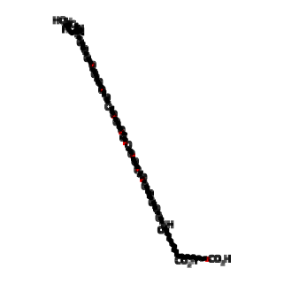 O=C(O)CCCCCCCCCCC(CCCCCCCCCCC(=O)NCCOCCOCCOCCOCCOCCOCCOCCOCCOCCOCCOCCOCCOCCOCCOCCOCCOCCOCCOCCOCCOCCOCCOCCn1nnc2c1CC[C@@H]1[C@H](CO)[C@@H]1CC2)C(=O)O